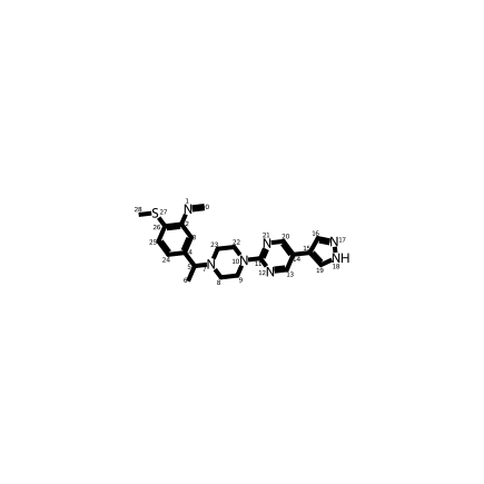 C=Nc1cc(C(C)N2CCN(c3ncc(-c4cn[nH]c4)cn3)CC2)ccc1SC